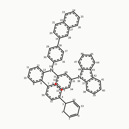 C1=CCC(c2ccc(-c3ccccc3N(c3ccc(-c4ccc5ccccc5c4)cc3)c3cccc(-n4c5ccccc5c5ccccc54)c3)cc2)C=C1